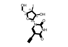 C#Cc1cn([C@@H]2O[C@H](CO)[C@@H](I)[C@H]2O)c(=O)[nH]c1=O